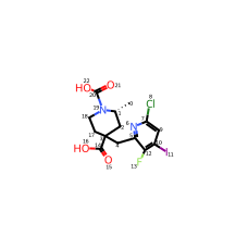 C[C@@H]1CC(Cc2nc(Cl)cc(I)c2F)(C(=O)O)CCN1C(=O)O